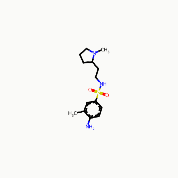 Cc1cc(S(=O)(=O)NCCC2CCCN2C)ccc1N